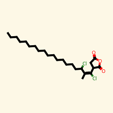 CCCCCCCCCCCCCCCCC(Cl)C(C)=C(Cl)C1CC(=O)OC1=O